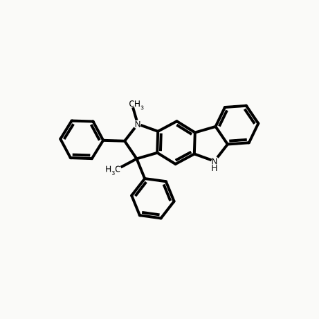 CN1c2cc3c(cc2C(C)(c2ccccc2)C1c1ccccc1)[nH]c1ccccc13